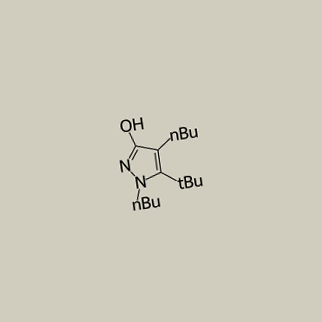 CCCCc1c(O)nn(CCCC)c1C(C)(C)C